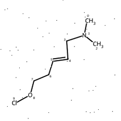 CN(C)C/C=C/CCOCl